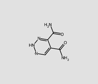 NC(=O)C1=C[N]NN=C1C(N)=O